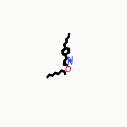 CCCCCCC(C)Oc1ccc(-c2ccc(CCCCC)cc2)nn1